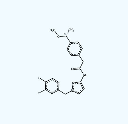 CO[C@H](C)c1ccc(CC(=O)Nc2ccn(Cc3ccc(F)c(F)c3)n2)cc1